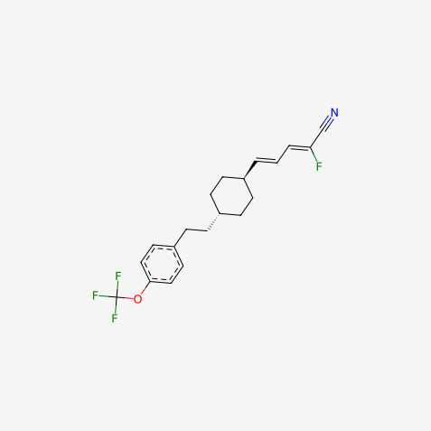 N#C/C(F)=C/C=C/[C@H]1CC[C@H](CCc2ccc(OC(F)(F)F)cc2)CC1